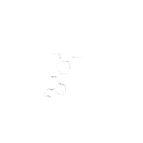 CC(C)C[C@@H]1CCN(C(=O)c2cccn3cncc23)C[C@H]1N